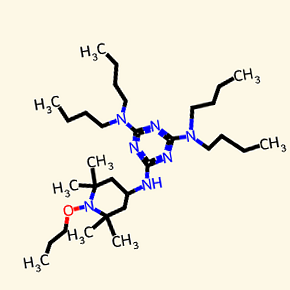 CCCCN(CCCC)c1nc(NC2CC(C)(C)N(OCCC)C(C)(C)C2)nc(N(CCCC)CCCC)n1